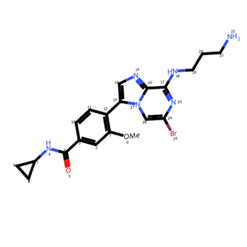 COc1cc(C(=O)NC2CC2)ccc1-c1cnc2c(NCCCN)nc(Br)cn12